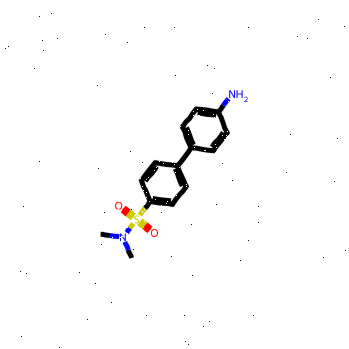 CN(C)S(=O)(=O)c1ccc(-c2ccc(N)cc2)cc1